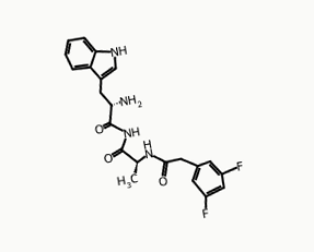 C[C@H](NC(=O)Cc1cc(F)cc(F)c1)C(=O)NC(=O)[C@@H](N)Cc1c[nH]c2ccccc12